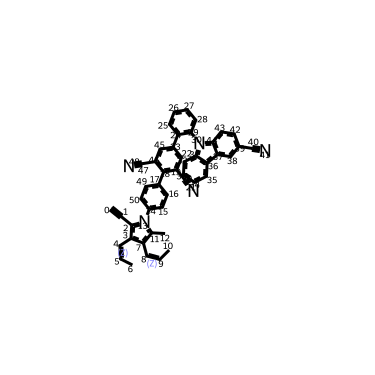 C#Cc1c(/C=C\C)c(/C=C\C)c(C)n1-c1ccc(-c2c(C#N)cc(-c3ccccc3-n3c4ccccc4c4cc(C#N)ccc43)cc2C#N)cc1